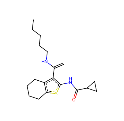 C=C(NCCCCC)c1c(NC(=O)C2CC2)sc2c1CCCC2